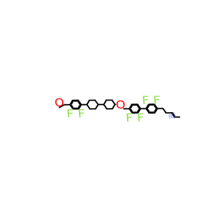 C/C=C/CCc1ccc(-c2ccc(COC3CCC(C4CCC(c5ccc(C6CO6)c(F)c5F)CC4)CC3)c(F)c2F)c(F)c1F